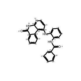 O=C(Nc1ccccc1Nc1ccnc2[nH]c(=O)c3ccccc3c12)c1ccccc1